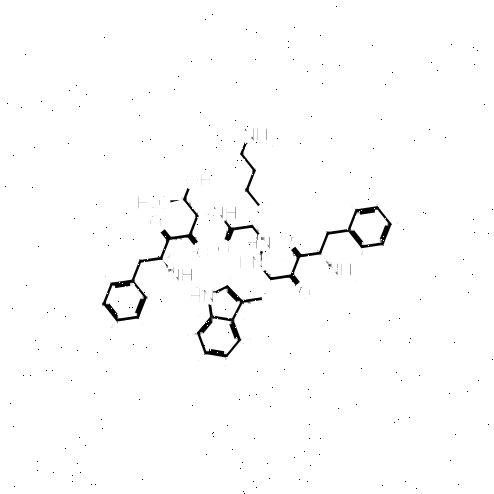 C[C@@H](O)[C@H](NC(=O)[C@H](CCCCN)NN[C@@H](Cc1c[nH]c2ccccc12)C(=O)C(=O)[C@@H](N)Cc1ccccc1)C(=O)C(=O)[C@@H](N)Cc1ccccc1